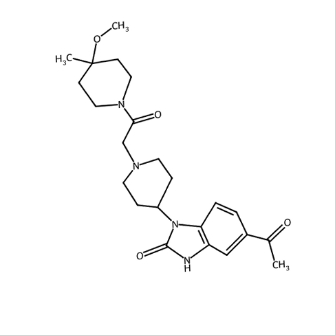 COC1(C)CCN(C(=O)CN2CCC(n3c(=O)[nH]c4cc(C(C)=O)ccc43)CC2)CC1